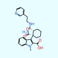 Cn1c(C(=O)O)c([C@]2(C(N)=O)CCCC[C@H]2C(=O)NCCc2cccnc2)c2ccccc21